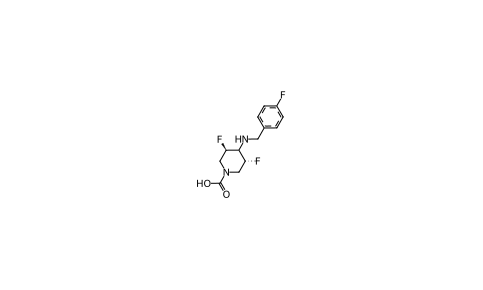 O=C(O)N1C[C@@H](F)C(NCc2ccc(F)cc2)[C@H](F)C1